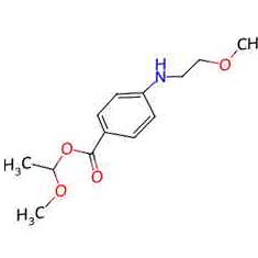 COCCNc1ccc(C(=O)OC(C)OC)cc1